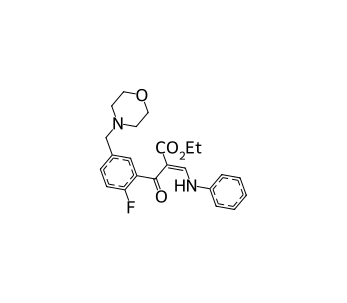 CCOC(=O)/C(=C/Nc1ccccc1)C(=O)c1cc(CN2CCOCC2)ccc1F